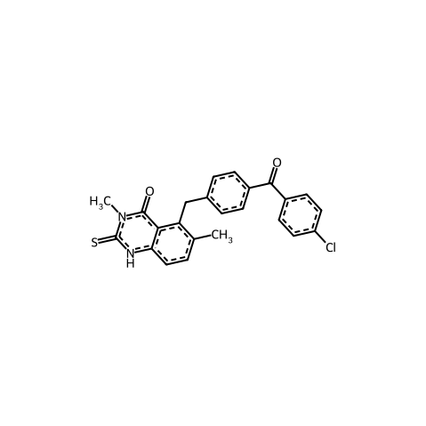 Cc1ccc2[nH]c(=S)n(C)c(=O)c2c1Cc1ccc(C(=O)c2ccc(Cl)cc2)cc1